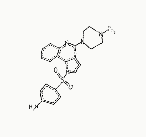 CN1CCN(c2nc3ccccc3c3c2ccn3S(=O)(=O)c2ccc(N)cc2)CC1